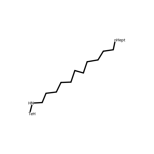 CCCCCCCCCCCCCCCCCCN[TeH]